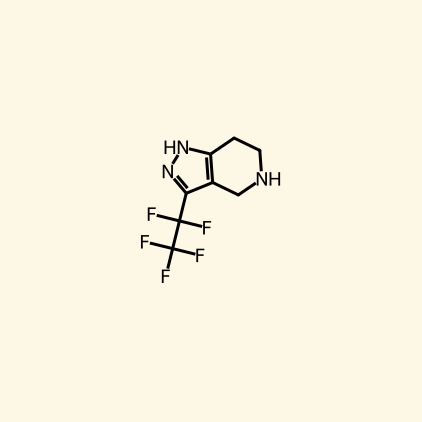 FC(F)(F)C(F)(F)c1n[nH]c2c1CNCC2